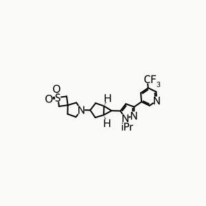 CC(C)n1nc(-c2cncc(C(F)(F)F)c2)cc1C1[C@H]2CC(N3CCC4(C3)CS(=O)(=O)C4)C[C@@H]12